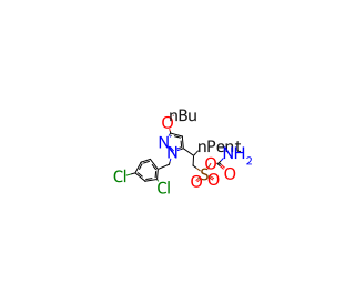 CCCCCC(CS(=O)(=O)OC(N)=O)c1cc(OCCCC)nn1Cc1ccc(Cl)cc1Cl